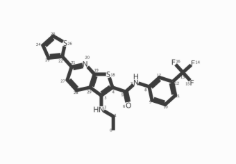 CCNc1c(C(=O)Nc2cccc(C(F)(F)F)c2)sc2nc(-c3cccs3)ccc12